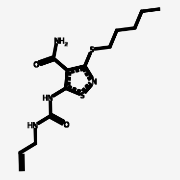 C=CCNC(=O)Nc1snc(SCCCCC)c1C(N)=O